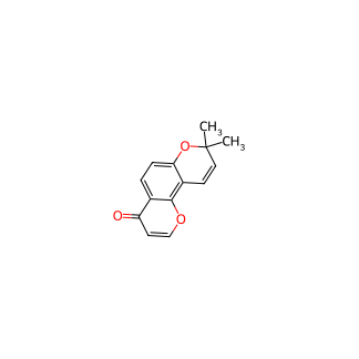 CC1(C)C=Cc2c(ccc3c(=O)ccoc23)O1